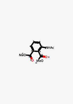 COC(=O)c1cccc(NC(C)=O)c1C(=O)OC